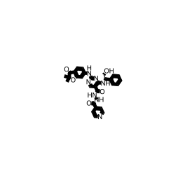 CC1(C)Oc2cc(Nc3ncc(C(=O)NNC(=O)c4ccncc4)c(N[C@H](CO)c4ccccc4)n3)ccc2C1=O